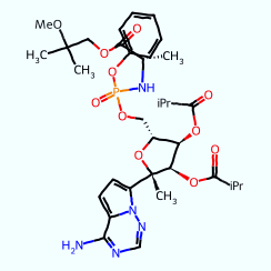 COC(C)(C)COC(=O)[C@H](C)NP(=O)(OC[C@H]1O[C@@](C)(c2ccc3c(N)ncnn23)[C@H](OC(=O)C(C)C)[C@@H]1OC(=O)C(C)C)Oc1ccccc1